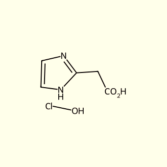 O=C(O)Cc1ncc[nH]1.OCl